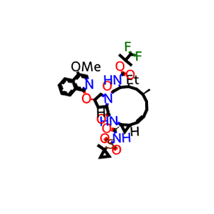 CC[C@@H]1C[C@@H](C)CC/C=C\[C@@H]2C[C@@]2(C(=O)NS(=O)(=O)C2(C)CC2)NC(=O)[C@@H]2C[C@@H](Oc3ncc(OC)c4ccccc34)CN2C(=O)[C@H]1NC(=O)OC(C)(C)C(F)F